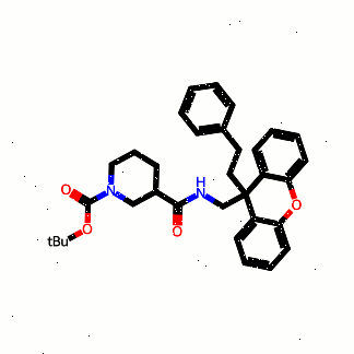 CC(C)(C)OC(=O)N1CCCC(C(=O)NCC2(CCc3ccccc3)c3ccccc3Oc3ccccc32)C1